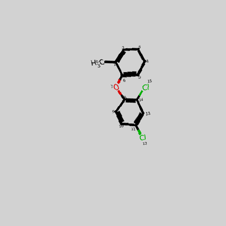 CC1=CCCC=C1Oc1ccc(Cl)cc1Cl